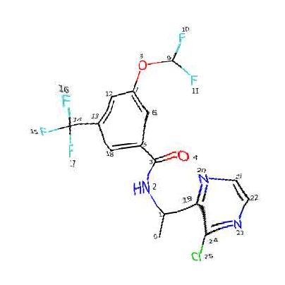 CC(NC(=O)c1cc(OC(F)F)cc(C(F)(F)F)c1)c1nccnc1Cl